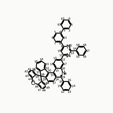 c1ccc(-c2cccc(-c3cc(-c4ccc5c(c4)nc(-c4ccccc4)c4ccc6c(c45)-c4ccccc4C64c5ccccc5Oc5ccccc54)nc(-c4ccccc4)n3)c2)cc1